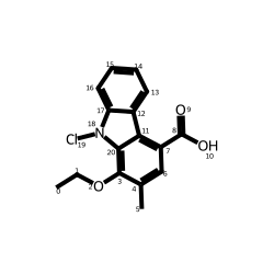 CCOc1c(C)cc(C(=O)O)c2c3ccccc3n(Cl)c12